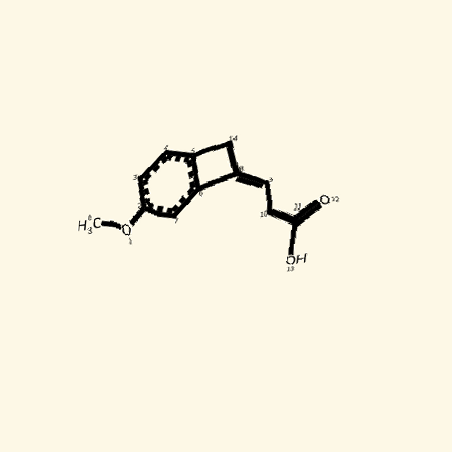 COc1ccc2c(c1)C(=CCC(=O)O)C2